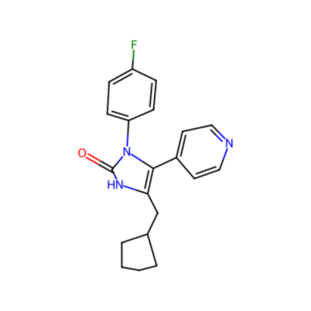 O=c1[nH]c(CC2CCCC2)c(-c2ccncc2)n1-c1ccc(F)cc1